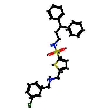 O=S(=O)(NCCC(c1ccccc1)c1ccccc1)c1ccc(CNCc2cccc(Cl)c2)s1